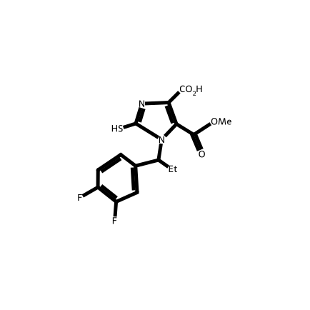 CCC(c1ccc(F)c(F)c1)n1c(S)nc(C(=O)O)c1C(=O)OC